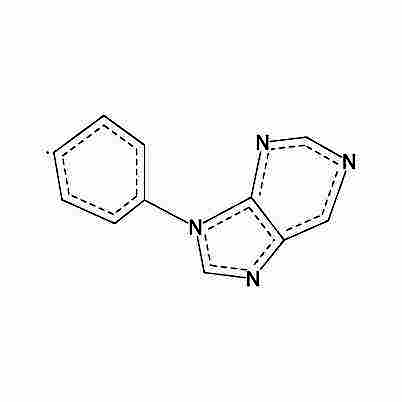 [c]1ccc(-n2cnc3cncnc32)cc1